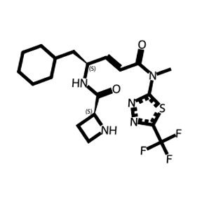 CN(C(=O)C=C[C@H](CC1CCCCC1)NC(=O)[C@@H]1CCN1)c1nnc(C(F)(F)F)s1